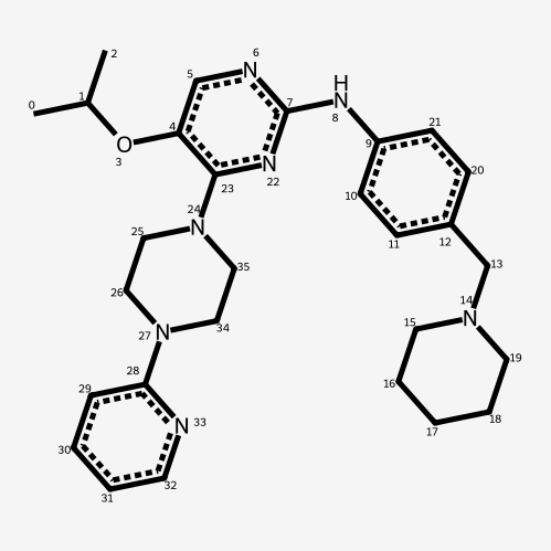 CC(C)Oc1cnc(Nc2ccc(CN3CCCCC3)cc2)nc1N1CCN(c2ccccn2)CC1